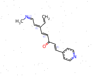 C=CC(/C=C/C(=O)/C=C/c1ccncc1)=C\C=N/C